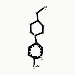 COc1ccc(N2CCC(CO)CC2)cn1